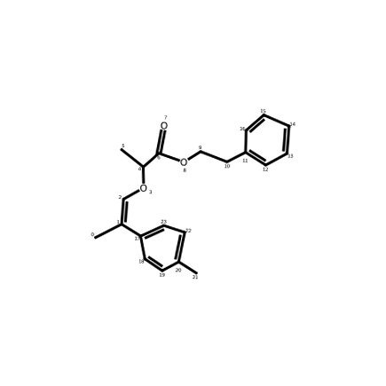 CC(=COC(C)C(=O)OCCc1ccccc1)c1ccc(C)cc1